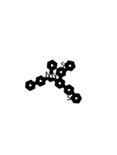 c1ccc(-c2ccc(-c3cc(-c4ccc(-c5ccc6c(c5)sc5ccccc56)cc4-c4ccc5sc6ccccc6c5c4)nc(-c4ccccc4)n3)cc2)cc1